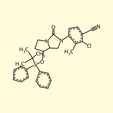 Cc1c(N2CC3C(O[Si](c4ccccc4)(c4ccccc4)C(C)(C)C)CCN3C2=O)ccc(C#N)c1Cl